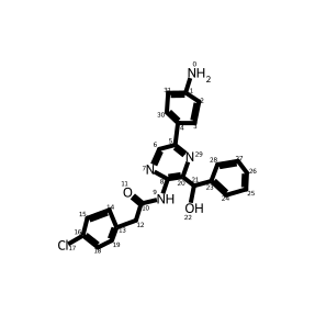 Nc1ccc(-c2cnc(NC(=O)Cc3ccc(Cl)cc3)c(C(O)c3ccccc3)n2)cc1